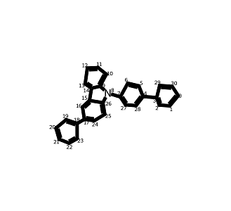 c1ccc(-c2ccc(-n3c4ccccc4c4cc(-c5ccccc5)ccc43)cc2)cc1